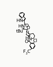 CC(C)(C)[C@H](NC(=O)c1cc2ccccc2[nH]1)C(=O)N1C[C@@H]2C1CCCN2C(=O)c1cc(C(F)(F)F)ccc1Cl